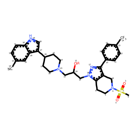 CS(=O)(=O)N1CCc2c(c(-c3ccc(C(F)(F)F)cc3)nn2CC(O)CN2CCC(c3c[nH]c4ccc(C#N)cc34)CC2)C1